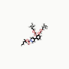 CCCC(C)(C)OC(=O)N1CC=C(c2cccc(OCOCC[Si](C)(C)C)c2OCOCC[Si](C)(C)C)CC1